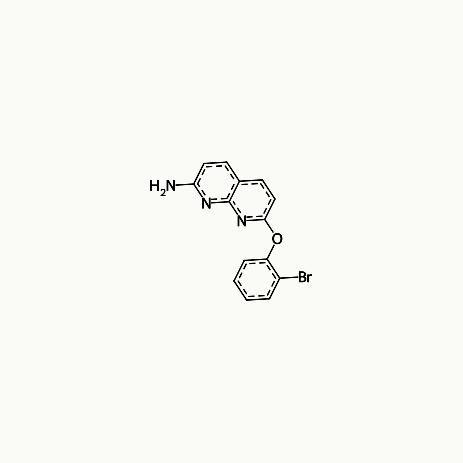 Nc1ccc2ccc(Oc3ccccc3Br)nc2n1